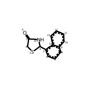 O=C1CSC(c2cccc3ccccc23)N1